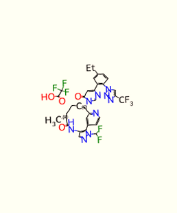 CCc1ccc(-n2cc(C(F)(F)F)nn2)c(-c2cc(=O)n([C@H]3CCC[C@@H](C)C(=O)Nc4cnn(C(F)F)c4-c4ccnc3c4)cn2)c1.O=C(O)C(F)(F)F